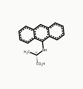 C[C@H](Nc1c2ccccc2cc2ccccc12)C(=O)O